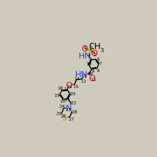 CS(=O)(=O)Nc1cccc(C(=O)NCCCOc2cccc(CN3CCSCC3)c2)c1